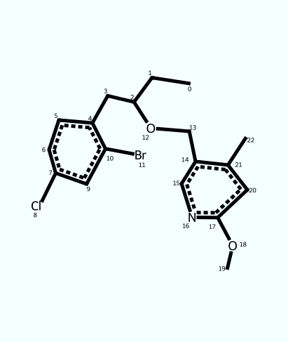 CCC(Cc1ccc(Cl)cc1Br)OCc1cnc(OC)cc1C